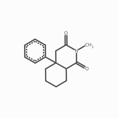 CN1C(=O)CC2(c3ccccc3)CCCCC2C1=O